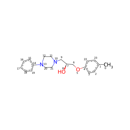 Cc1ccc(OC[C@@H](O)CN2CCN(c3ccccc3)CC2)cc1